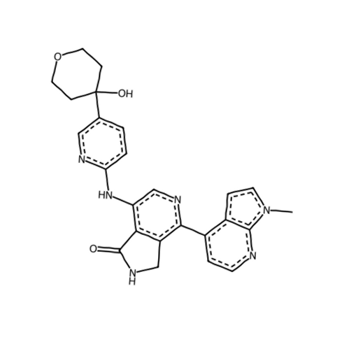 Cn1ccc2c(-c3ncc(Nc4ccc(C5(O)CCOCC5)cn4)c4c3CNC4=O)ccnc21